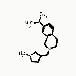 CC(C)c1ccc2c(c1)CN(CC1CCN(C)C1)CC2